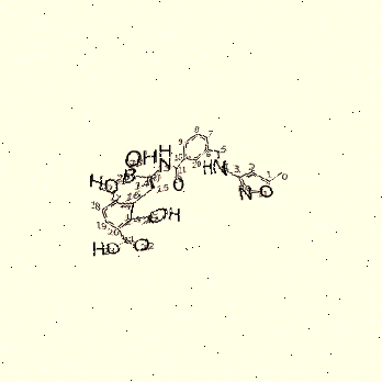 Cc1cc(NCc2cccc(C(=O)N[C@@H](Cc3cccc(C(=O)O)c3O)B(O)O)c2)no1